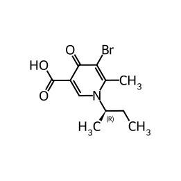 CC[C@@H](C)n1cc(C(=O)O)c(=O)c(Br)c1C